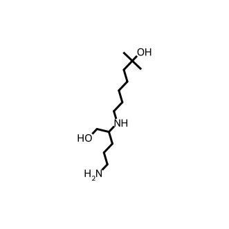 CC(C)(O)CCCCCNC(CO)CCCN